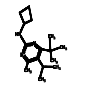 Cc1nc(NC2CCC2)nc(C(C)(C)C)c1C(C)C